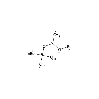 CCCCC(OC(C)OCC)(C(F)(F)F)C(F)(F)F